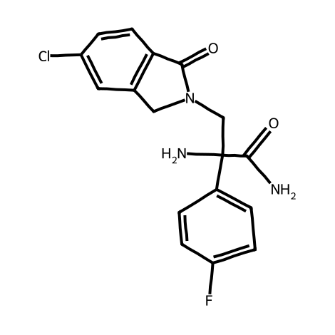 NC(=O)C(N)(CN1Cc2cc(Cl)ccc2C1=O)c1ccc(F)cc1